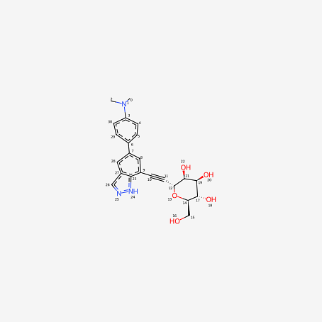 CN(C)c1ccc(-c2cc(C#C[C@H]3O[C@H](CO)[C@@H](O)[C@H](O)[C@@H]3O)c3[nH]ncc3c2)cc1